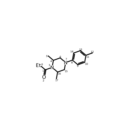 CCC(=O)N1C(C)CN(c2ccc(C)cc2)CC1C